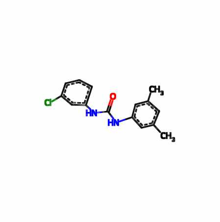 Cc1cc(C)cc(NC(=O)Nc2cccc(Cl)c2)c1